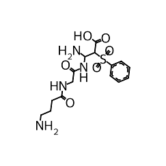 NCCCC(=O)NCC(=O)NC(N)C(C(=O)O)S(=O)(=O)c1ccccc1